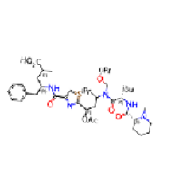 CCCOCN(C(=O)[C@@H](NC(=O)[C@H]1CCCCN1C)C(C)CC)C(C[C@@H](OC(C)=O)c1nc(C(=O)N[C@@H](Cc2ccccc2)C[C@H](C)C(=O)O)cs1)C(C)C